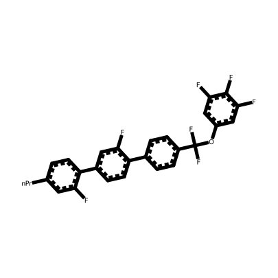 CCCc1ccc(-c2ccc(-c3ccc(C(F)(F)Oc4cc(F)c(F)c(F)c4)cc3)c(F)c2)c(F)c1